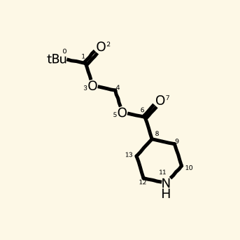 CC(C)(C)C(=O)OCOC(=O)C1CCNCC1